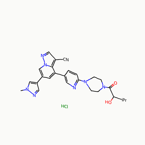 CC(C)C(O)C(=O)N1CCN(c2ccc(-c3cc(-c4cnn(C)c4)cn4ncc(C#N)c34)cn2)CC1.Cl